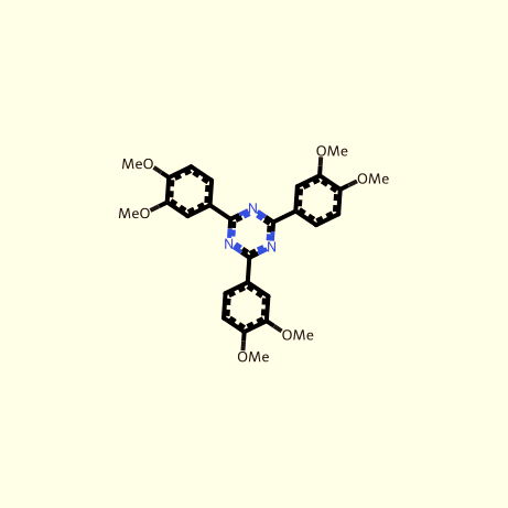 COc1ccc(-c2nc(-c3ccc(OC)c(OC)c3)nc(-c3ccc(OC)c(OC)c3)n2)cc1OC